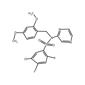 COc1ccc(CN(c2cnccn2)S(=O)(=O)c2cc(Cl)c(F)cc2F)c(OC)c1